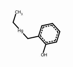 C[CH2][Hg][CH2]c1ccccc1O